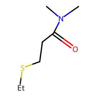 CCSCCC(=O)N(C)C